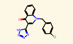 O=c1c(-c2nnn[nH]2)cn(Cc2ccc(Cl)cc2)c2ccccc12